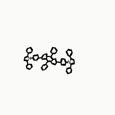 c1ccc(-c2c3ccc(-c4ccc(-n5c(-c6ccccc6)ccc5-c5ccccc5)cc4)cc3c(-c3ccccc3)c3ccc(-c4ccc(-n5c(-c6ccccc6)ccc5-c5ccccc5)cc4)cc23)cc1